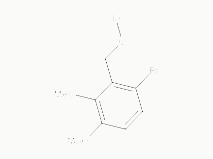 [CH2]COCc1c(Br)ccc(OC)c1OC